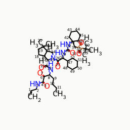 C=CCNC(=O)C(=O)C(CCCC)NC(=O)[C@@H]1[C@H]2CCC(C)(C)[C@H]2CN1C(=O)[C@@H](NC(=O)NC1(CS(=O)(=O)C(C)(C)C)CCCCC1)C1CCCCC1